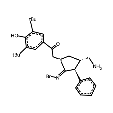 CC(C)(C)c1cc(C(=O)CN2C[C@H](CN)[C@@H](c3ccccc3)/C2=N/Br)cc(C(C)(C)C)c1O